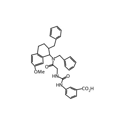 COc1ccc2c(c1)C(N(Cc1ccccc1)C(=O)CNC(=O)Nc1cccc(C(=O)O)c1)C(Cc1ccccc1)CC2